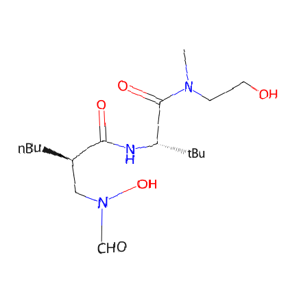 CCCC[C@H](CN(O)C=O)C(=O)N[C@H](C(=O)N(C)CCO)C(C)(C)C